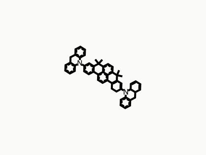 CC1(C)C2=C(CCC(N3c4ccccc4CC4C=CC=CC43)=C2)c2ccc3c4c(ccc1c24)C(C)(C)c1cc(N2c4ccccc4Cc4ccccc42)ccc1-3